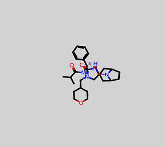 CC(C)C(=O)N[C@@H](CCN1C2CCC1CC1(C2)CN(CC2CCOCC2)C(=O)N1)c1ccccc1